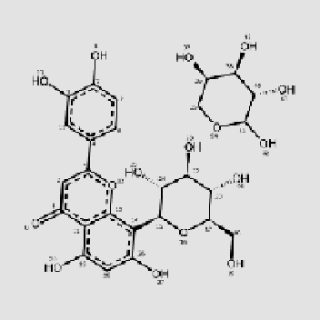 O=c1cc(-c2ccc(O)c(O)c2)oc2c([C@@H]3O[C@H](CO)[C@@H](O)[C@H](O)[C@H]3O)c(O)cc(O)c12.OC1OC[C@@H](O)[C@@H](O)[C@@H]1O